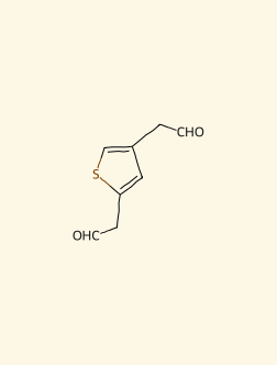 O=CCc1csc(CC=O)c1